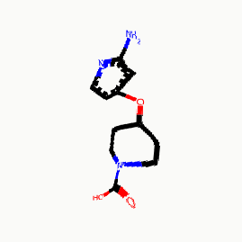 Nc1cc(OC2CCN(C(=O)O)CC2)ccn1